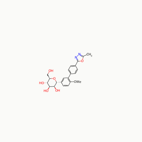 COc1ccc([C@H]2O[C@H](CO)[C@@H](O)[C@H](O)[C@@H]2O)cc1-c1ccc(-c2nnc(C)o2)cc1